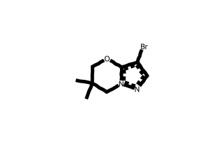 CC1(C)COc2c(Br)cnn2C1